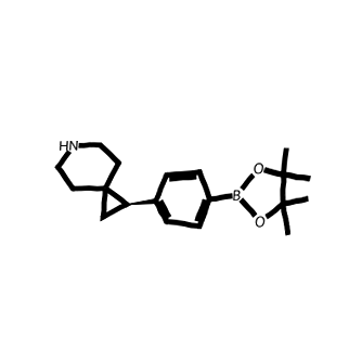 CC1(C)OB(c2ccc([C@H]3CC34CCNCC4)cc2)OC1(C)C